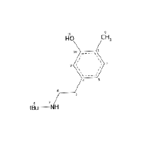 Cc1ccc(CCNC(C)(C)C)cc1O